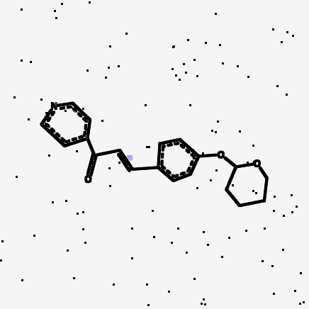 O=C(/C=C/c1ccc(OC2CCCCO2)cc1)c1ccncc1